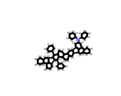 c1ccc(-c2c3c(c(-c4ccccc4)c4c2ccc2c5cc6c(cc5ccc24)-c2cc4ccccc4c4cc(N(c5ccccc5)c5ccccc5)cc-6c24)-c2cccc4c2c-3cc2ccccc24)cc1